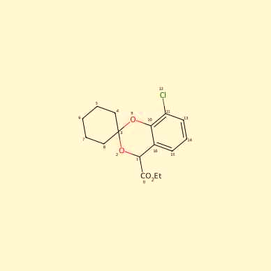 CCOC(=O)C1OC2(CCCCC2)Oc2c(Cl)cccc21